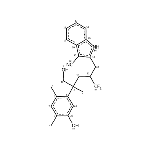 Cc1cc(C)c(C(C)(CO)CC(Cc2[nH]c3ccccc3c2C#N)C(F)(F)F)cc1O